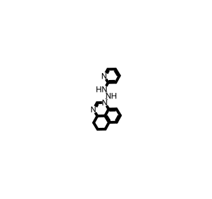 C1=NC2CCCc3cccc(c32)N1NNc1ccccn1